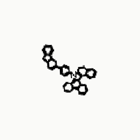 C1=CC2=c3ccccc3=C3C(c4c(ccc5ccccc45)N3c3ccc(C4=CC=C5Cc6ccccc6C5C4)cc3)C2C=C1